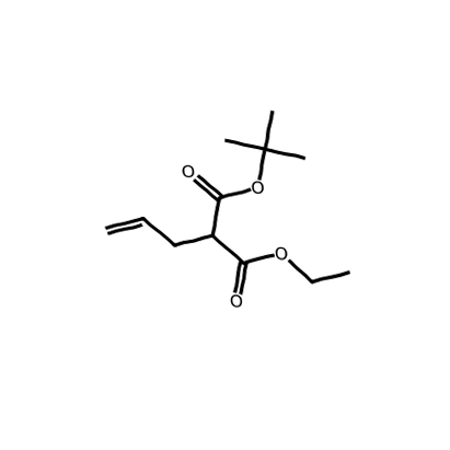 C=CCC(C(=O)OCC)C(=O)OC(C)(C)C